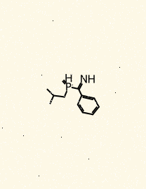 C=[PH](CC(C)C)C(=N)c1ccccc1